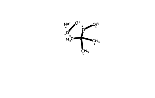 CC(C)(C)OO.[Na+].[O-]Cl